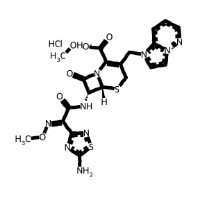 CO.CO/N=C(/C(=O)N[C@@H]1C(=O)N2C(C(=O)[O-])=C(Cn3cc[n+]4ncccc34)CS[C@H]12)c1nsc(N)n1.Cl